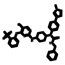 Cn1cc(-c2ccc(N(C(=O)NCc3ccccc3)C3CCC(Nc4ncc(Cl)c(Oc5ccccc5S(C)(=O)=O)n4)CC3)cc2)cn1